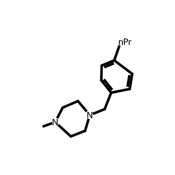 CCCc1ccc(CN2CCN(C)CC2)cc1